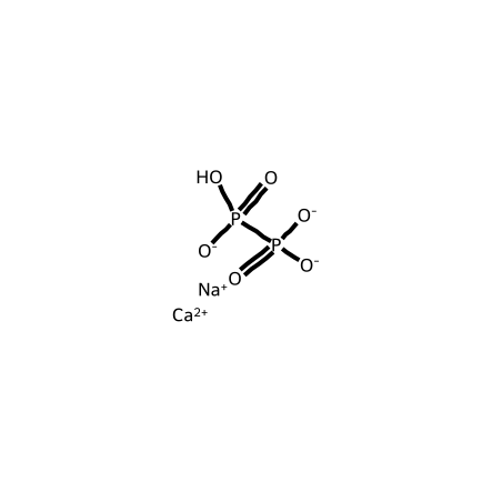 O=P([O-])([O-])P(=O)([O-])O.[Ca+2].[Na+]